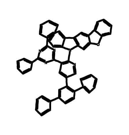 c1ccc(-c2ccc(-c3ccccc3)c(-c3cnc(-n4c5ccccc5c5cc6c(cc54)oc4ccccc46)c(-c4nc(-c5ccccc5)nc(-c5ccccc5)n4)c3)c2)cc1